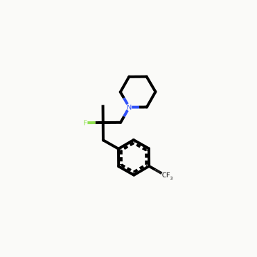 CC(F)(Cc1ccc(C(F)(F)F)cc1)CN1CCCCC1